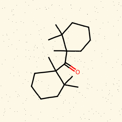 CC1(C)CCCCC1(C)C(=O)C1(C)CCCCC1(C)C